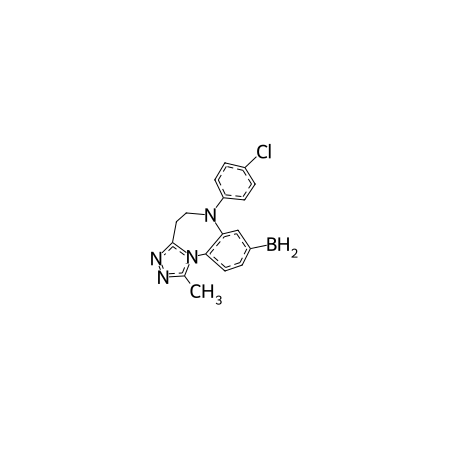 Bc1ccc2c(c1)N(c1ccc(Cl)cc1)CCc1nnc(C)n1-2